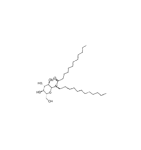 CCCCCCCCCCCCN(C(=O)CCCCCCCCCCC)C1O[C@H](CO)[C@@H](O)[C@H](O)[C@H]1O